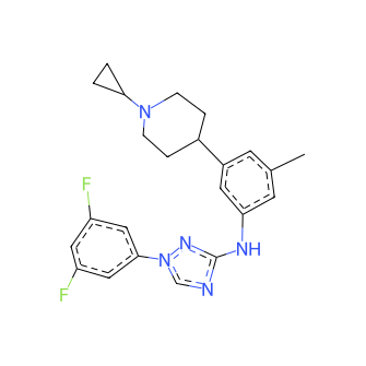 Cc1cc(Nc2ncn(-c3cc(F)cc(F)c3)n2)cc(C2CCN(C3CC3)CC2)c1